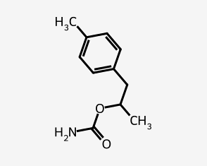 Cc1ccc(CC(C)OC(N)=O)cc1